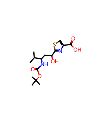 CC(C)C(CC(O)c1nc(C(=O)O)cs1)NC(=O)OC(C)(C)C